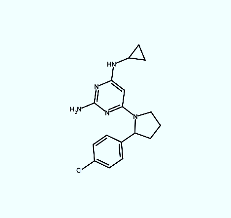 Nc1nc(NC2CC2)cc(N2CCCC2c2ccc(Cl)cc2)n1